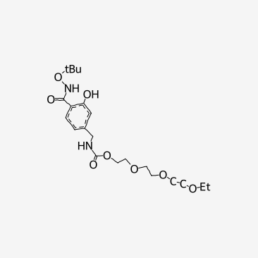 CCOCCOCCOCCOC(=O)NCc1ccc(C(=O)NOC(C)(C)C)c(O)c1